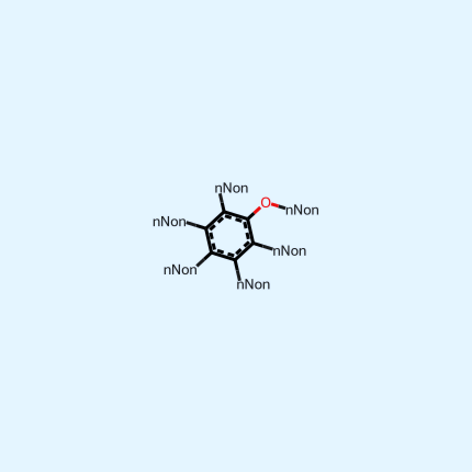 CCCCCCCCCOc1c(CCCCCCCCC)c(CCCCCCCCC)c(CCCCCCCCC)c(CCCCCCCCC)c1CCCCCCCCC